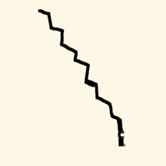 [CH]=C=CCCCC=CCCCCCCCC